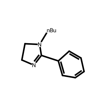 CCCCN1CCN=C1c1ccccc1